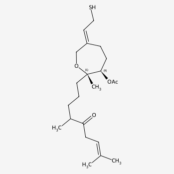 CC(=O)O[C@@H]1CCC(=CCS)CO[C@@]1(C)CCCC(C)C(=O)CC=C(C)C